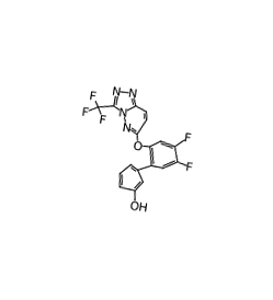 Oc1cccc(-c2cc(F)c(F)cc2Oc2ccc3nnc(C(F)(F)F)n3n2)c1